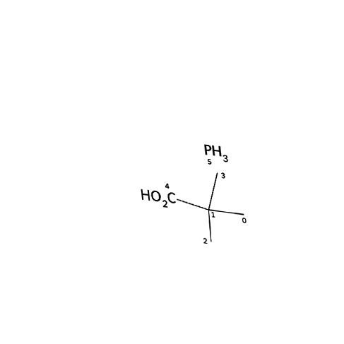 CC(C)(C)C(=O)O.P